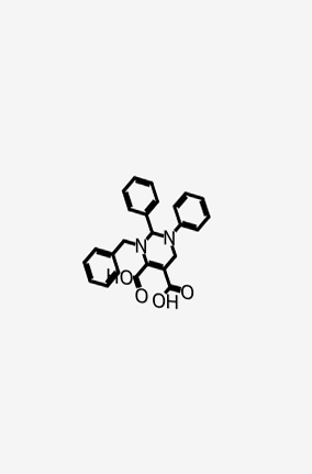 O=C(O)C1=C(C(=O)O)N(Cc2ccccc2)C(c2ccccc2)N(c2ccccc2)C1